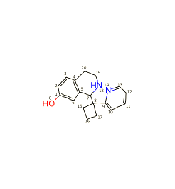 Oc1ccc2c(c1)C(C1(c3ccccn3)CCC1)NCC2